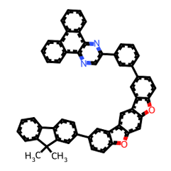 CC1(C)c2ccccc2-c2ccc(-c3ccc4oc5cc6oc7ccc(-c8cccc(-c9cnc%10c%11ccccc%11c%11ccccc%11c%10n9)c8)cc7c6cc5c4c3)cc21